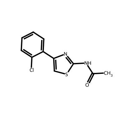 CC(=O)Nc1nc(-c2ccccc2Cl)cs1